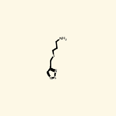 NCCCSCc1cnsn1